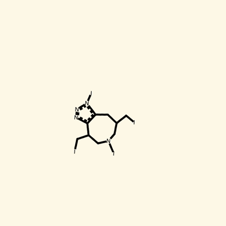 ICC1Cc2c(nnn2I)C(CI)CN(I)C1